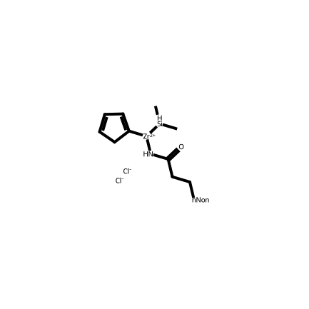 CCCCCCCCCCCC(=O)[NH][Zr+2]([C]1=CC=CC1)[SiH](C)C.[Cl-].[Cl-]